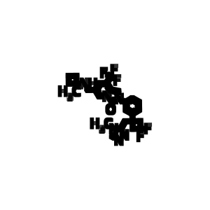 Cn1cnnc1CC1(c2cccc(-n3cc4c(C(F)(F)F)cc(CNC5(C)CCC5)cn4c3=O)c2)CC(F)(F)C1